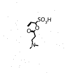 C=CC(OC(=O)CCN(C)C)S(=O)(=O)O